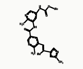 CCC(C)/C(=C\c1cc(C(=O)Nc2cc(NC(=O)OC(C)(C)C)cnc2C)cnc1C)c1cnn(C)c1